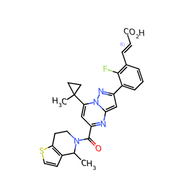 CC1c2ccsc2CCN1C(=O)c1cc(C2(C)CC2)n2nc(-c3cccc(/C=C/C(=O)O)c3F)cc2n1